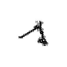 COc1cc2c(c(OC)c1OC)-c1ccc(OC)c(=O)cc1[C@@H](NC(=O)OCc1ccc(NC(=O)C(CCCNC(N)=O)NC(=O)[C@@H](NC(=O)CCOCCOCCOCCOCCN=[N+]=[N-])C(C)C)cc1)CC2